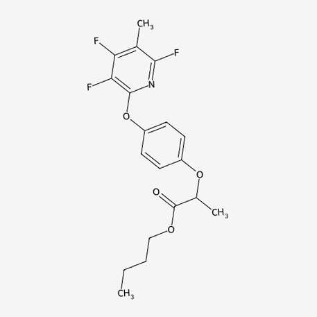 CCCCOC(=O)C(C)Oc1ccc(Oc2nc(F)c(C)c(F)c2F)cc1